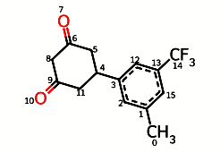 Cc1cc(C2CC(=O)CC(=O)C2)cc(C(F)(F)F)c1